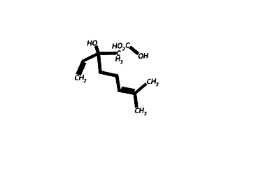 C=CC(C)(O)CCC=C(C)C.O=C(O)O